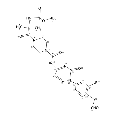 CC(C)(C)OC(=O)NC(C)(C)C(=O)N1CCN(C(=O)Nc2ccn(-c3ccc(CC=O)c(F)c3)c(=O)n2)CC1